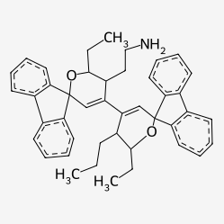 CCCC1C(C2=CC3(OC(CC)C2CCN)c2ccccc2-c2ccccc23)=CC2(OC1CC)c1ccccc1-c1ccccc12